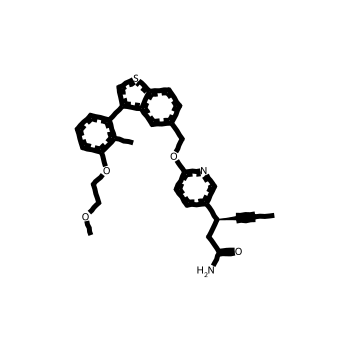 CC#C[C@@H](CC(N)=O)c1ccc(OCc2ccc3scc(-c4cccc(OCCOC)c4C)c3c2)nc1